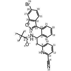 CC(C)(C)[S@+]([O-])NC(Cc1cccc(C#N)n1)c1ccccc1-c1noc2cc(Br)ccc12